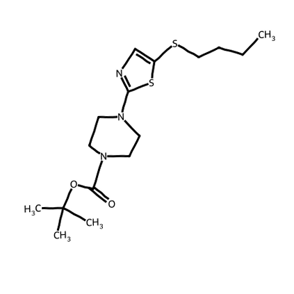 CCCCSc1cnc(N2CCN(C(=O)OC(C)(C)C)CC2)s1